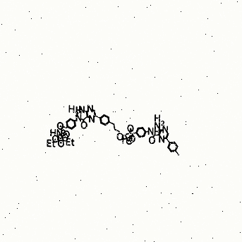 CCOP(=O)(NS(=O)(=O)c1ccc(NC(=O)c2nc(-c3ccc(CCCOP(C)(=O)CS(=O)(=O)c4ccc(NC(=O)c5nc(-c6ccc(C)cc6)cnc5N)cc4)cc3)cnc2N)cc1)OCC